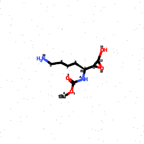 CC(C)(C)OC(=O)N[C@@H](CCCCN)C1OC1O